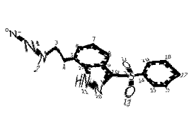 [N-]=[N+]=NCCc1cccc2c(S(=O)(=O)c3ccccc3)n[nH]c12